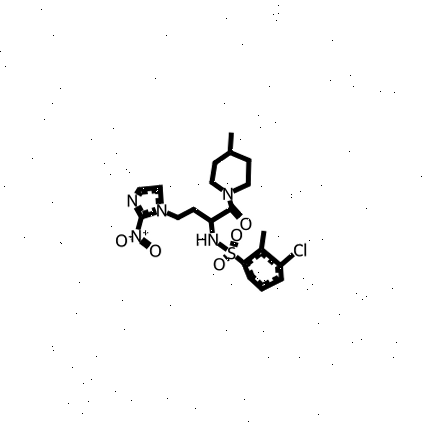 Cc1c(Cl)cccc1S(=O)(=O)NC(CCn1ccnc1[N+](=O)[O-])C(=O)N1CCC(C)CC1